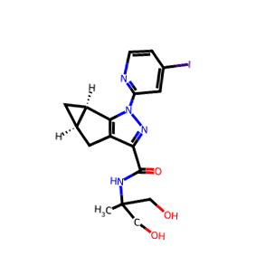 CC(CO)(CO)NC(=O)c1nn(-c2cc(I)ccn2)c2c1C[C@H]1C[C@@H]21